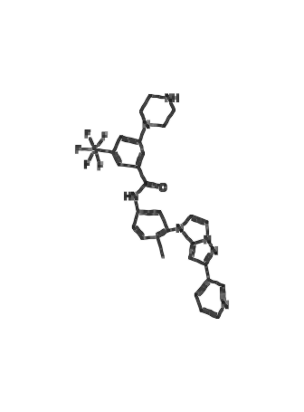 Cc1ccc(NC(=O)c2cc(N3CCNCC3)cc(S(F)(F)(F)(F)F)c2)cc1-n1ccn2nc(-c3cccnc3)cc12